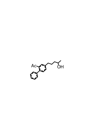 CC(=O)c1cc(CCCC(C)O)ccc1-c1ccccc1